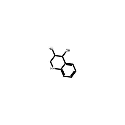 OC1CNc2ccccc2C1O